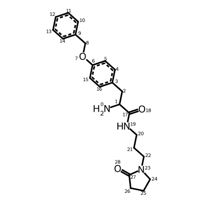 NC(Cc1ccc(OCc2ccccc2)cc1)C(=O)NCCCN1CCCC1=O